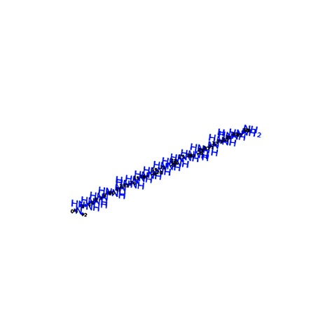 CN(C)NNNNNNNNNNNNNNNNNNNNNNNNNNNNNNNNNNNNN